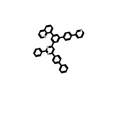 c1ccc(-c2ccc(-c3cc(-c4cc(-c5ccc(-c6cccnc6)cc5)cc(-c5cccc6cccnc56)c4)nc(-c4ccccc4)n3)cc2)cc1